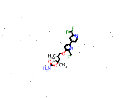 C[C@H](COc1ccc(-c2ccnc(C(F)F)c2)nc1CF)CC(C)(C)OC(N)=O